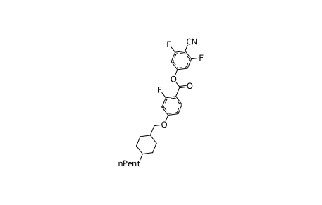 CCCCCC1CCC(COc2ccc(C(=O)Oc3cc(F)c(C#N)c(F)c3)c(F)c2)CC1